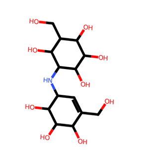 OCC1=CC(NC2C(O)C(O)C(O)C(CO)C2O)C(O)C(O)C1O